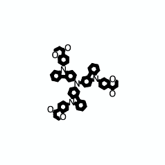 O=c1ccoc2cc(-n3c4ccccc4c4cc(N(c5ccc6c(c5)c5ccccc5n6-c5ccc6c(=O)ccoc6c5)c5ccc6c(c5)c5ccccc5n6-c5ccc6c(=O)ccoc6c5)ccc43)ccc12